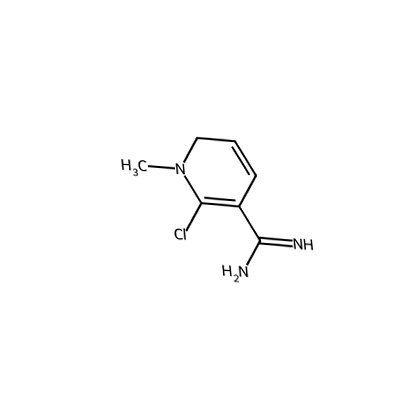 CN1CC=CC(C(=N)N)=C1Cl